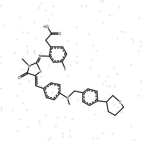 CN1C(=O)C(=Cc2ccc(N(C)Cc3ccc(C4CCCCC4)cc3)cc2)SC1=Nc1cc(F)ccc1CC(=O)O